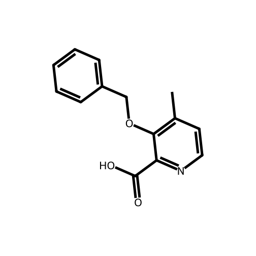 Cc1ccnc(C(=O)O)c1OCc1ccccc1